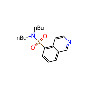 CCCCN(CCCC)S(=O)(=O)c1cccc2cnccc12